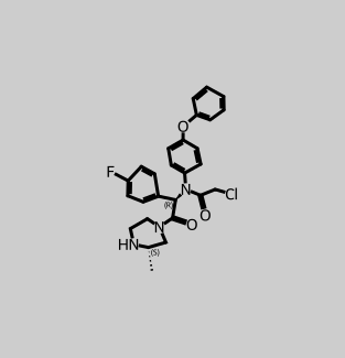 C[C@H]1CN(C(=O)[C@@H](c2ccc(F)cc2)N(C(=O)CCl)c2ccc(Oc3ccccc3)cc2)CCN1